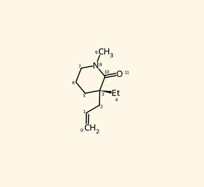 C=CC[C@]1(CC)CCCN(C)C1=O